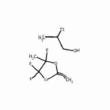 C=C1OC(C)(F)C(F)(F)O1.CC(Cl)CO